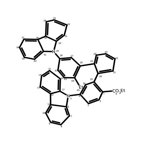 CCOC(=O)c1ccc(-n2c3ccccc3c3ccccc32)cc1-c1ccccc1-c1cc(-n2c3ccccc3c3ccccc32)ccc1CC